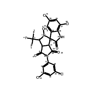 CN1C(C(F)(F)F)C2C(=O)N(c3cc(Cl)cc(Cl)c3)C(=O)C2C12C(=O)Nc1c(Cl)cc(Cl)cc12